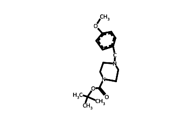 COc1ccc(CN2CCN(C(=O)OC(C)(C)C)CC2)cc1